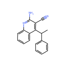 CC(c1ccccc1)c1c(C#N)c(N)nc2ccccc12